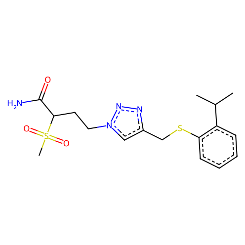 CC(C)c1ccccc1SCc1cn(CCC(C(N)=O)S(C)(=O)=O)nn1